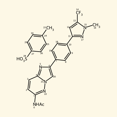 CC(=O)Nc1ccc2nc(-c3ccc(-c4cc(C(F)(F)F)n(C)n4)cc3)cn2n1.Cc1ccc(S(=O)(=O)O)cc1